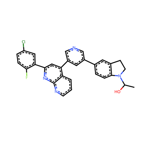 CC(O)N1CCc2cc(-c3cncc(-c4cc(-c5cc(Cl)ccc5F)nc5ncccc45)c3)ccc21